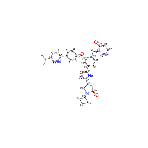 CC(C)c1ccc(-c2ccc(Oc3cc(-c4nc(C5CC(=O)N(C6CCC6)C5)no4)ccc3Cn3cnccc3=O)cc2)nn1